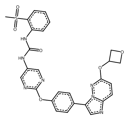 CS(=O)(=O)c1ccccc1NC(=O)Nc1cnc(Oc2ccc(-c3cnc4ccc(OC5COC5)nn34)cc2)nc1